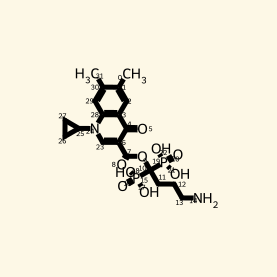 Cc1cc2c(=O)c(C(=O)OC(CCCN)(P(=O)(O)O)P(=O)(O)O)cn(C3CC3)c2cc1C